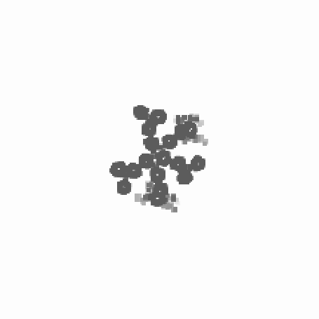 CC1(C)CCC(C)(C)c2cc(-c3ccc(N4c5cc(-c6ccc7c(c6)c6ccccc6n7-c6ccccc6)ccc5B5c6ccc(-c7ccc8c(c7)c7ccccc7n8C7C=CC=CC7)cc6N(c6ccc(-c7ccc8c(c7)C(C)(C)CCC8(C)C)cc6)c6cc(-c7ccc8c(c7)c7ccccc7n8C7=CCCC=C7)cc4c65)cc3)ccc21